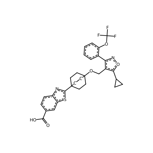 O=C(O)c1ccc2nc(C34CCC(OCc5c(-c6ccccc6OC(F)(F)F)noc5C5CC5)(CC3)CC4)sc2c1